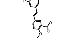 COc1ccc(/C=C/c2cccc(F)c2)cc1[N+](=O)[O-]